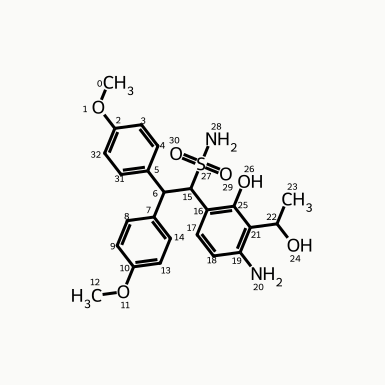 COc1ccc(C(c2ccc(OC)cc2)C(c2ccc(N)c(C(C)O)c2O)S(N)(=O)=O)cc1